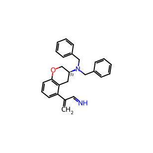 C=C(C=N)c1cccc2c1C[C@H](N(Cc1ccccc1)Cc1ccccc1)CO2